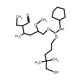 CCC(C=O)C(C)CC(COP(NC1CCCCC1)OCCCC(C)(C)CO)OC